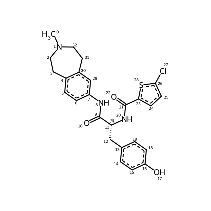 CN1CCc2ccc(NC(=O)[C@@H](Cc3ccc(O)cc3)NC(=O)c3ccc(Cl)s3)cc2CC1